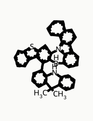 CC1(C)c2ccccc2Nc2c(-c3c4c(cc5sc6ccccc6c35)-n3c5c(cccc5c5ccc6ccccc6c53)B4)cccc21